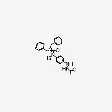 CC(=O)NNc1ccc(N(S)C(=O)N(Cc2ccccc2)Cc2ccccc2)cc1